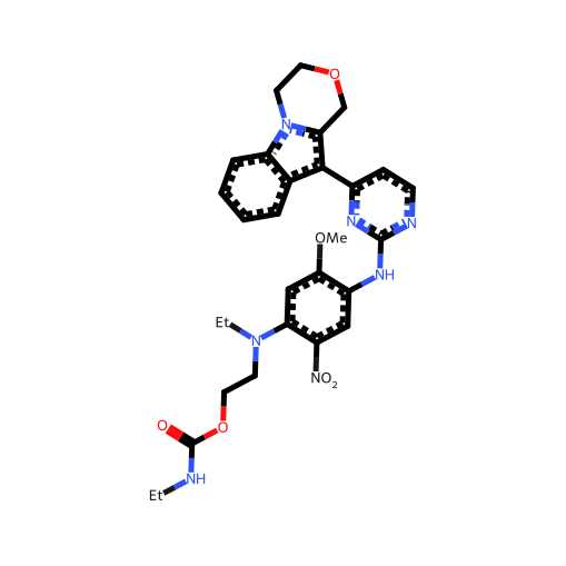 CCNC(=O)OCCN(CC)c1cc(OC)c(Nc2nccc(-c3c4n(c5ccccc35)CCOC4)n2)cc1[N+](=O)[O-]